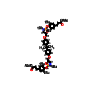 COC(=O)CCc1cc(C(C)(C)C)c(OP2OC(COc3ccc(C(C)(C)c4ccc(OCC5CN(C(C)(C)C)P(Oc6c(C(C)(C)C)cc(CCC(=O)OC)cc6C(C)(C)C)O5)cc4)cc3)CN2C(C)(C)C)c(C(C)(C)C)c1